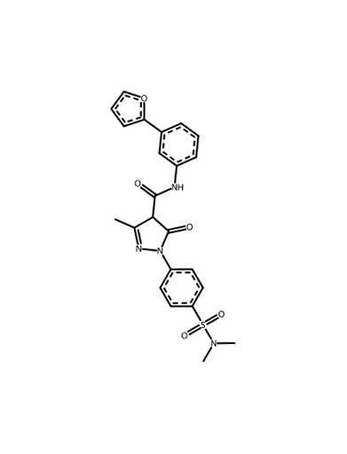 CC1=NN(c2ccc(S(=O)(=O)N(C)C)cc2)C(=O)C1C(=O)Nc1cccc(-c2ccco2)c1